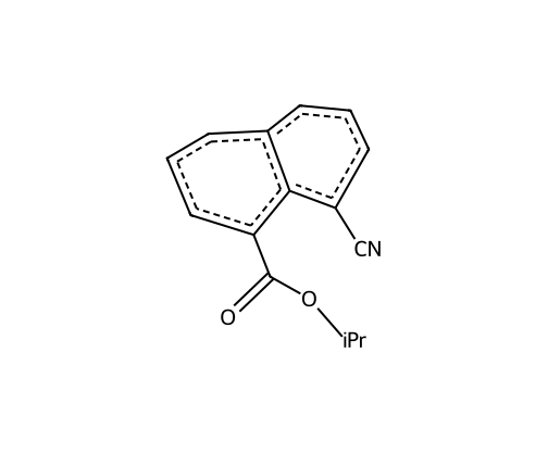 CC(C)OC(=O)c1cccc2cccc(C#N)c12